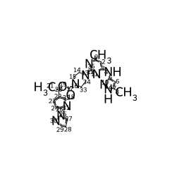 Cc1cc(Nc2cc(C)[nH]n2)nc(N2CCN(C(=O)OC(C)c3ccc(-n4cccn4)nc3)CC2)n1